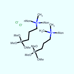 CCCCCCCCC[N+](C)(C)CCC[Si](OC)(OC)OC.CCCCCCCCC[N+](C)(CCCCCCCCC)CCC[Si](OC)(OC)OC.[Cl-].[Cl-]